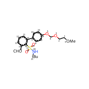 COCCOCOc1ccc(-c2cccc(C=O)c2S(=O)(=O)NC(C)(C)C)cc1